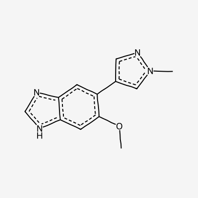 COc1cc2[nH]cnc2cc1-c1cnn(C)c1